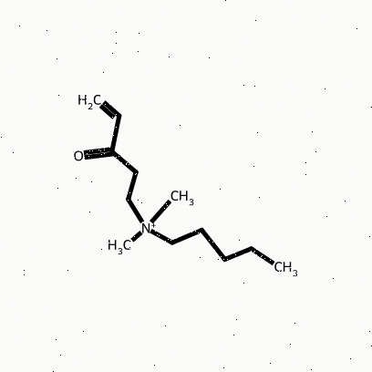 C=CC(=O)CC[N+](C)(C)CCCCC